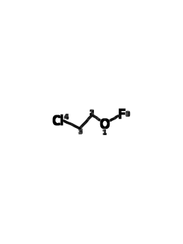 FOCCCl